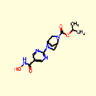 CC(C)OC(=O)N1CC2CC1CN2c1ncc(C(=O)NO)cn1